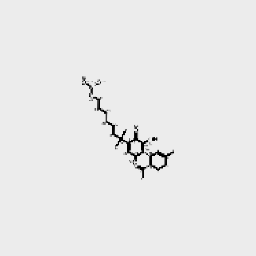 C=C(C)[C@@H]1CCC(C)=C[C@H]1C1=C(O)C(=O)C(C(C)(C)CCCCCCO[N+](=O)[O-])=CC1=O